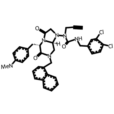 C#CCN(C(=O)NCc1ccc(Cl)c(Cl)c1)N1CC(=O)N2[C@@H](Cc3ccc(NC)cc3)C(=O)N(Cc3cccc4ccccc34)C[C@@H]21